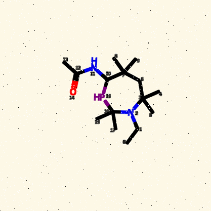 CCN1C(C)(C)CC(C)(C)C(NC(C)=O)PC1(C)C